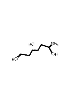 Cl.NC(O)CCCCCO